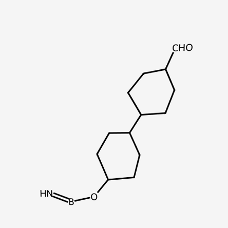 N=BOC1CCC(C2CCC(C=O)CC2)CC1